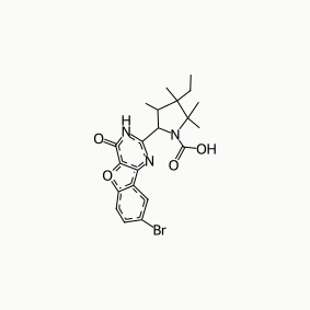 CCC1(C)C(C)C(c2nc3c(oc4ccc(Br)cc43)c(=O)[nH]2)N(C(=O)O)C1(C)C